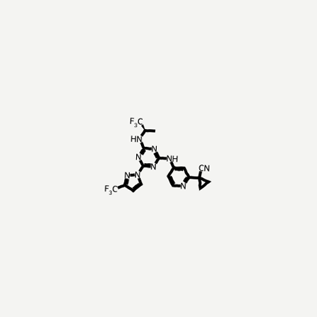 C[C@@H](Nc1nc(Nc2ccnc(C3(C#N)CC3)c2)nc(-n2ccc(C(F)(F)F)n2)n1)C(F)(F)F